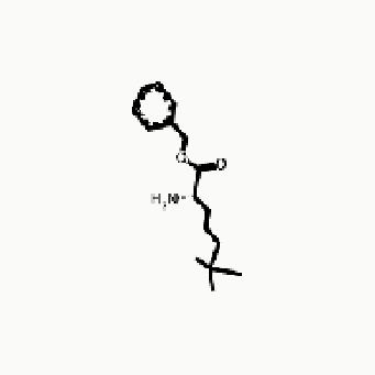 CC(C)(C)CCC[C@H](N)C(=O)OCc1ccccc1